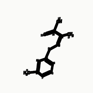 CC(=CCc1cccc(C)c1)C(=O)O